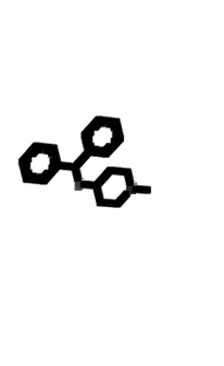 CN1CCC(SC(c2ccccc2)c2ccccc2)CC1